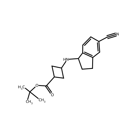 CC(C)(C)OC(=O)C1CC(NC2CCc3cc(C#N)ccc32)C1